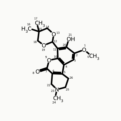 COc1cc2c3c(c(=O)oc2c(C2OCC(C)(C)CO2)c1O)CN(C)CC3